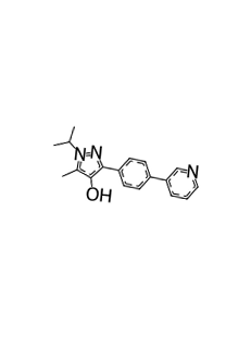 Cc1c(O)c(-c2ccc(-c3cccnc3)cc2)nn1C(C)C